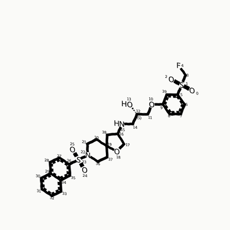 O=S(=O)(CF)c1cccc(OC[C@@H](O)CNC2COC3(CCN(S(=O)(=O)c4ccc5ccccc5c4)CC3)C2)c1